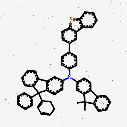 CC1(C)c2ccccc2-c2ccc(N(c3ccc(-c4ccc5sc6ccccc6c5c4)cc3)c3ccc4c(c3)-c3ccccc3C4(C3=CC=CCC3)c3ccccc3)cc21